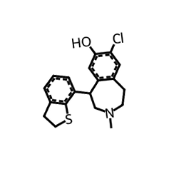 CN1CCc2cc(Cl)c(O)cc2C(c2cccc3c2SCC3)C1